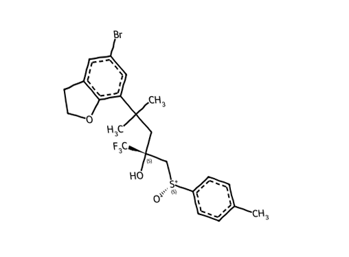 Cc1ccc([S@+]([O-])C[C@](O)(CC(C)(C)c2cc(Br)cc3c2OCC3)C(F)(F)F)cc1